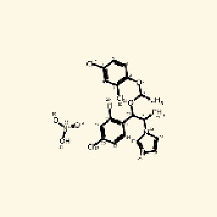 CC(Oc1ccc(Cl)cc1Cl)OC(c1ccc(Cl)cc1Cl)C(C)n1ccnc1.O=[N+]([O-])O